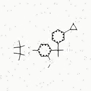 COc1cc(B2OC(C)(C)C(C)(C)O2)ccc1C(C)(O)c1cccc(C2CC2)c1